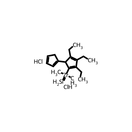 CCC1=C(CC)C(C2=CC=CC2)[C]([Zr]([CH3])([CH3])=[SiH2])=C1CC.Cl.Cl